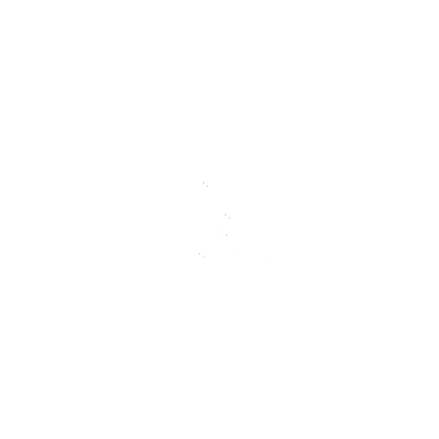 Cc1c(-c2ccc(C(=O)O)cc2)nc2sc(NCc3ccc(Cl)c(Cl)c3)nn12